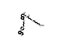 CCCCCCCCCCCCCCCCCCCCC(=O)OCN1C(=O)CCc2ccc(OCCCCN3CCN(c4cccc5sccc45)CC3)cc21